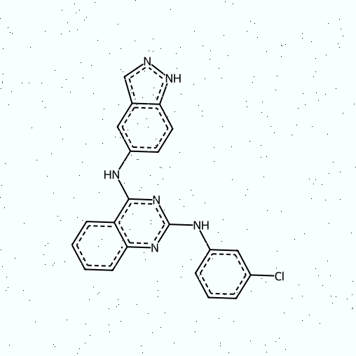 Clc1cccc(Nc2nc(Nc3ccc4[nH]ncc4c3)c3ccccc3n2)c1